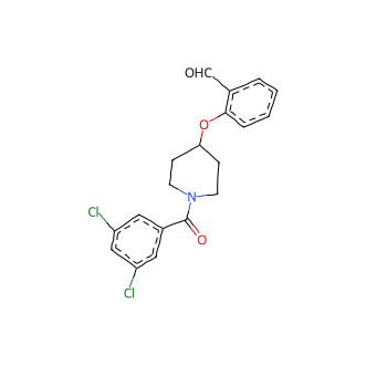 O=Cc1ccccc1OC1CCN(C(=O)c2cc(Cl)cc(Cl)c2)CC1